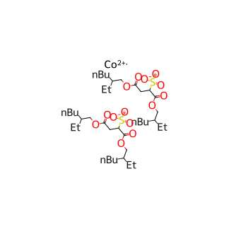 CCCCC(CC)COC(=O)CC(C(=O)OCC(CC)CCCC)S(=O)(=O)[O-].CCCCC(CC)COC(=O)CC(C(=O)OCC(CC)CCCC)S(=O)(=O)[O-].[Co+2]